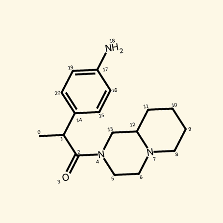 CC(C(=O)N1CCN2CCCCC2C1)c1ccc(N)cc1